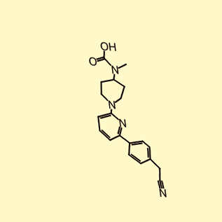 CN(C(=O)O)C1CCN(c2cccc(-c3ccc(CC#N)cc3)n2)CC1